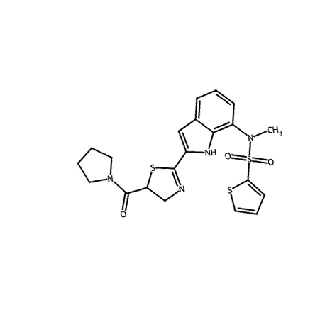 CN(c1cccc2cc(C3=NCC(C(=O)N4CCCC4)S3)[nH]c12)S(=O)(=O)c1cccs1